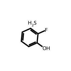 Oc1ccccc1F.S